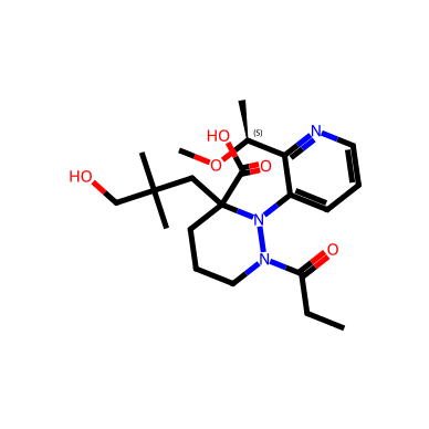 CCC(=O)N1CCCC(CC(C)(C)CO)(C(=O)O)N1c1cccnc1[C@H](C)OC